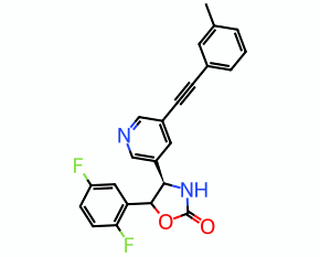 Cc1cccc(C#Cc2cncc([C@H]3NC(=O)OC3c3cc(F)ccc3F)c2)c1